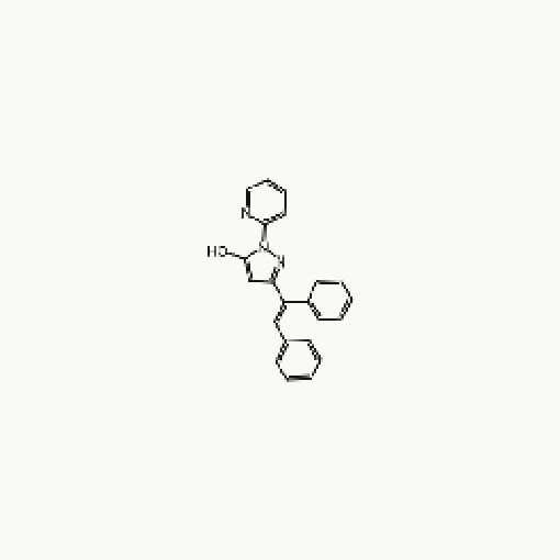 Oc1cc(/C(=C/c2ccccc2)c2ccccc2)nn1-c1ccccn1